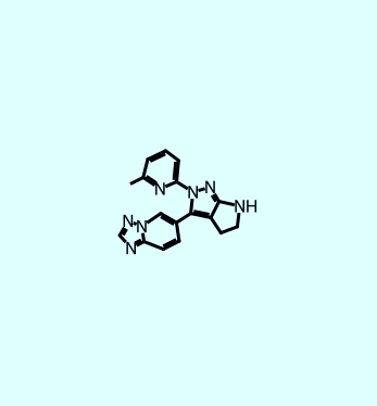 Cc1cccc(-n2nc3c(c2-c2ccc4ncnn4c2)CCN3)n1